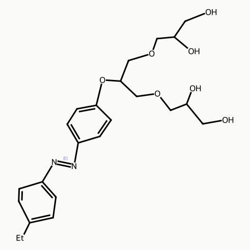 CCc1ccc(/N=N/c2ccc(OC(COCC(O)CO)COCC(O)CO)cc2)cc1